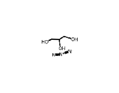 OCC(O)CO.[N-]=[N+]=[N-]